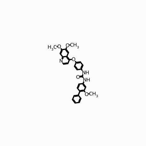 COc1cc2nccc(Oc3ccc(NC(=O)Nc4ccc(-c5ccccc5)c(OC)c4)cc3)c2cc1OC